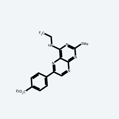 CCOC(=O)c1ccc(-c2cnc3nc(SC)nc(NCC(F)(F)F)c3n2)cc1